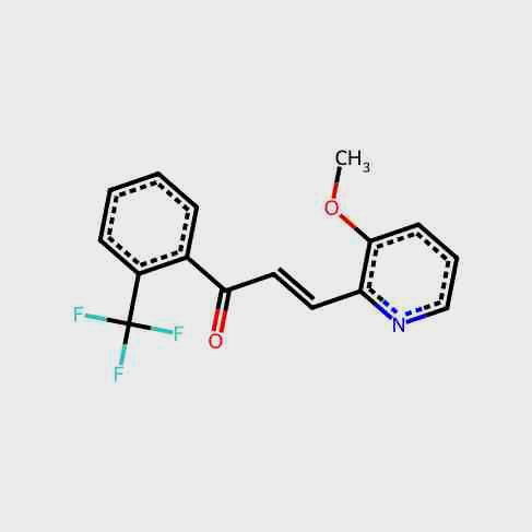 COc1cccnc1C=CC(=O)c1ccccc1C(F)(F)F